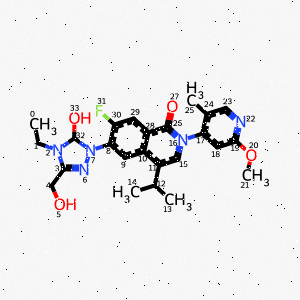 CCN1C(CO)=NN(c2cc3c(C(C)C)cn(-c4cc(OC)ncc4C)c(=O)c3cc2F)C1O